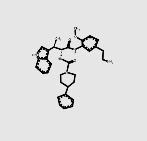 COc1ccc(CCN)cc1NC(=O)[C@H](NC(=O)N1CCC(c2ccccc2)CC1)[C@H](C)c1c[nH]c2ccccc12